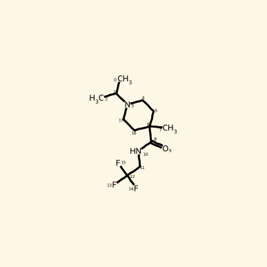 CC(C)N1CCC(C)(C(=O)NCC(F)(F)F)CC1